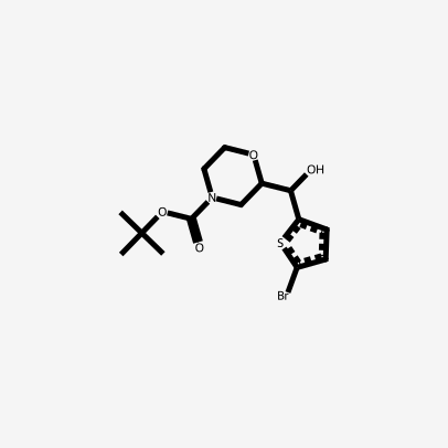 CC(C)(C)OC(=O)N1CCOC(C(O)c2ccc(Br)s2)C1